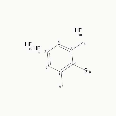 Cc1cccc(C)c1[S].F.F.F